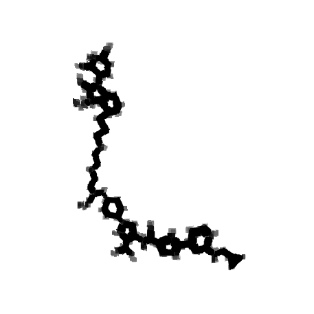 CN(CCOCCOCCCc1cccc2c1n(C)c(=O)n2C1CCC(=O)NC1=O)C[C@H]1CC[C@H](n2cc(NC(=O)c3coc(-c4ccnc(NCC5CC5)c4)n3)c(C(F)F)n2)CC1